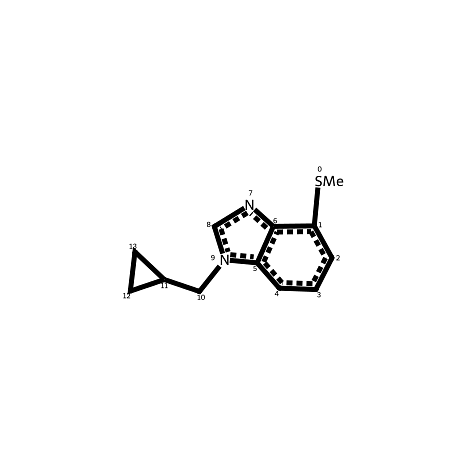 CSc1cccc2c1ncn2CC1CC1